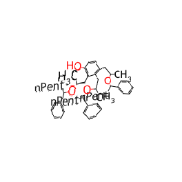 CCCCCC(OC(C)Cc1ccc(O)c(CC(C)OC(CCCCC)c2ccccc2)c1CC(C)OC(CCCCC)c1ccccc1)c1ccccc1